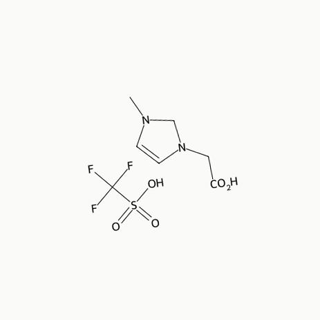 CN1C=CN(CC(=O)O)C1.O=S(=O)(O)C(F)(F)F